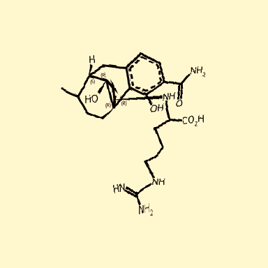 CC1CC[C@]23C[C@H](NC(CCCNC(=N)N)C(=O)O)CC[C@@]2(O)[C@H]1Cc1ccc(C(N)=O)c(O)c13